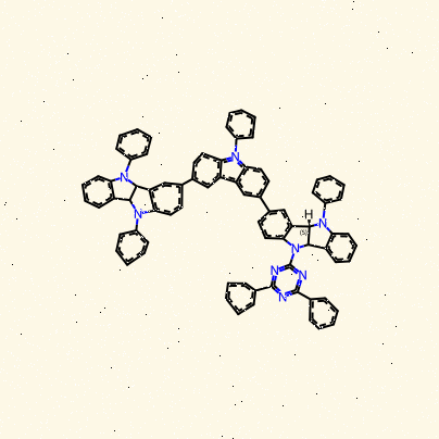 c1ccc(-c2nc(-c3ccccc3)nc(N3c4ccc(-c5ccc6c(c5)c5cc(-c7ccc8c(c7)C7C(c9ccccc9N7c7ccccc7)N8c7ccccc7)ccc5n6-c5ccccc5)cc4[C@H]4C3c3ccccc3N4c3ccccc3)n2)cc1